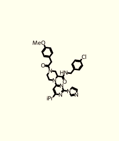 COc1ccc(CC(=O)N2CCN(c3cc(C(C)C)nc(-n4ccnc4)n3)C(C(=O)NCc3ccc(Cl)cc3)C2)cc1